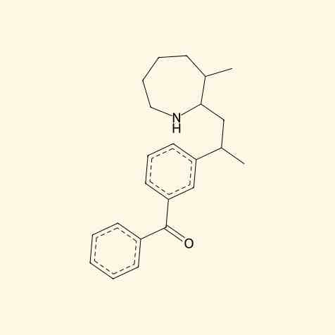 CC(CC1NCCCCC1C)c1cccc(C(=O)c2ccccc2)c1